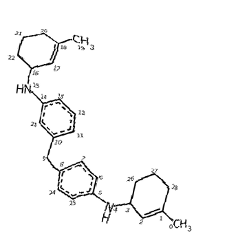 CC1=CC(Nc2ccc(Cc3cccc(NC4C=C(C)CCC4)c3)cc2)CCC1